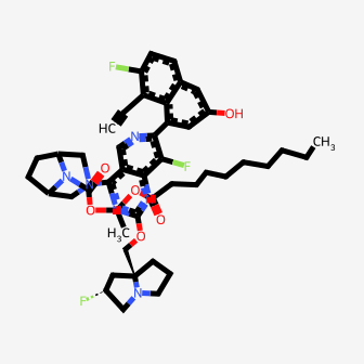 C#Cc1c(F)ccc2cc(O)cc(-c3ncc4c(N5CC6CCC(C5)N6C(=O)OC(C)OC(=O)CCCCCCCCC)nc(OC[C@@]56CCCN5C[C@H](F)C6)nc4c3F)c12